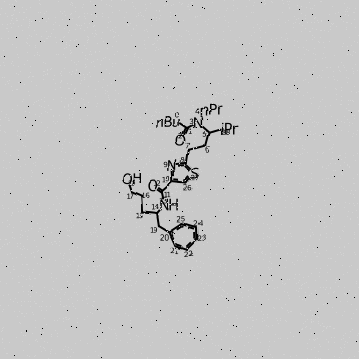 CCCCC(=O)N(CCC)C(CCc1nc(C(=O)NC(CCCO)Cc2ccccc2)cs1)C(C)C